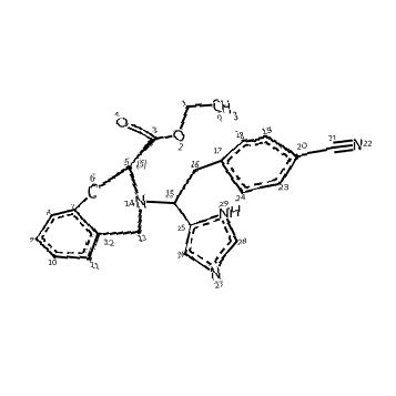 CCOC(=O)[C@@H]1Cc2ccccc2CN1C(Cc1ccc(C#N)cc1)c1cnc[nH]1